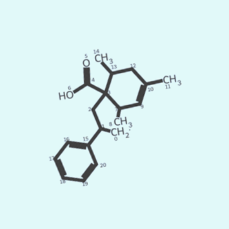 [CH2]C(CC1(C(=O)O)C(C)C=C(C)CC1C)c1ccccc1